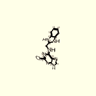 Clc1nc(NCC2Nc3ccccc3N2)c2nc[nH]c2n1